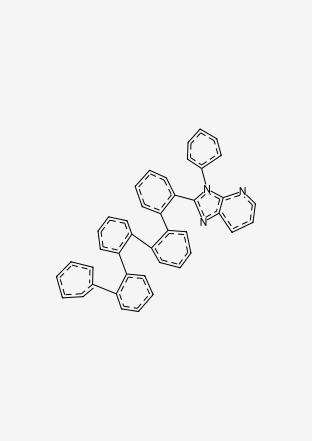 c1ccc(-c2ccccc2-c2ccccc2-c2ccccc2-c2ccccc2-c2nc3cccnc3n2-c2ccccc2)cc1